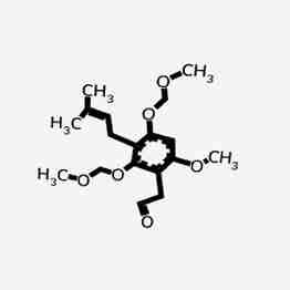 COCOc1cc(OC)c(CC=O)c(OCOC)c1CC=C(C)C